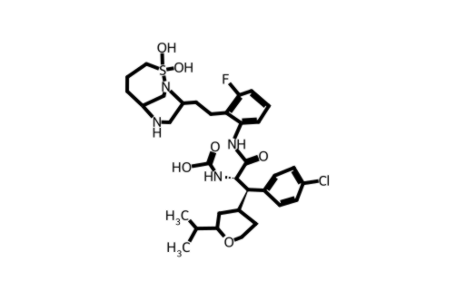 CC(C)C1CC([C@H](c2ccc(Cl)cc2)[C@H](NC(=O)O)C(=O)Nc2cccc(F)c2CCC2CNC3CCCS(O)(O)N2C3)CCO1